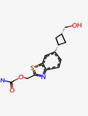 NC(=O)OCc1nc2ccc([C@H]3C[C@@H](CO)C3)cc2s1